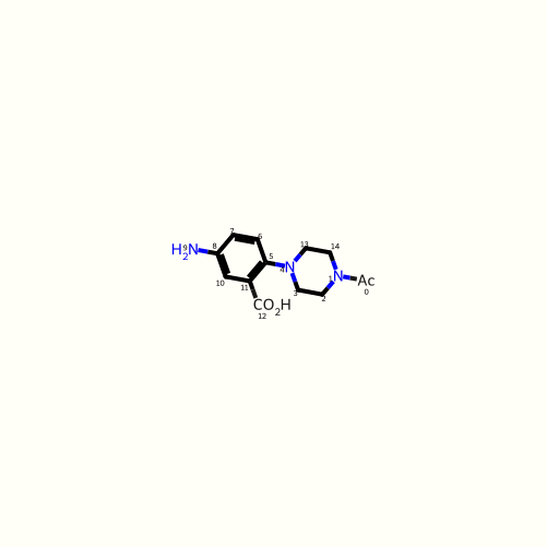 CC(=O)N1CCN(c2ccc(N)cc2C(=O)O)CC1